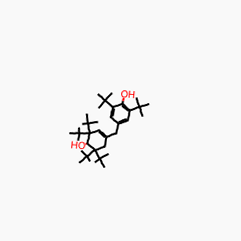 CC(C)(C)c1cc(CC2=CC(C(C)(C)C)(C(C)(C)C)C(O)C(C(C)(C)C)(C(C)(C)C)C2)cc(C(C)(C)C)c1O